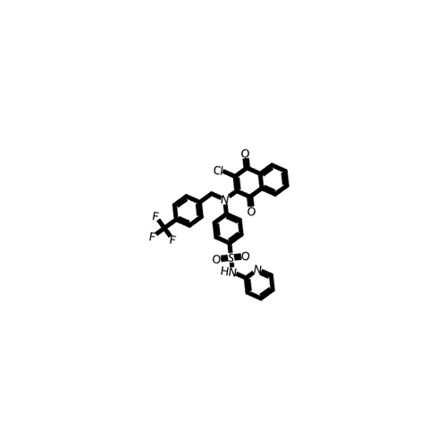 O=C1C(Cl)=C(N(Cc2ccc(C(F)(F)F)cc2)c2ccc(S(=O)(=O)Nc3ccccn3)cc2)C(=O)c2ccccc21